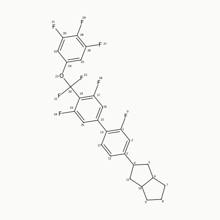 Fc1cc(C2CC3CCCC3C2)ccc1-c1cc(F)c(C(F)(F)Oc2cc(F)c(F)c(F)c2)c(F)c1